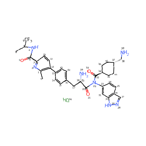 Cc1nc(C(=O)NC(C)C(F)(F)F)ccc1-c1ccc(C[C@H](N)C(=O)N(c2ccc3cn[nH]c3c2)C(=O)[C@H]2CC[C@H](CN)CC2)cc1.Cl